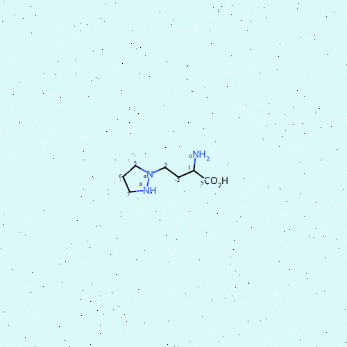 NC(CCN1CCCN1)C(=O)O